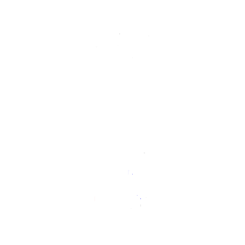 O=C(O)C1CN(S(=O)(=O)c2ccc(-c3ccc(-c4cccc5c4oc4ccccc45)cc3)cc2)CCN1C(=O)O